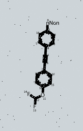 CCCCCCCCCc1ccc(C#Cc2ccc(OC(F)F)cc2)cc1